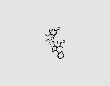 COCC(C)n1c(NS(=O)(=O)C(C)C(C)c2ncc(Cl)cn2)nnc1-c1ccccn1